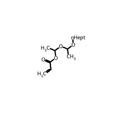 C=CC(=O)OC(C)OC(C)OCCCCCCC